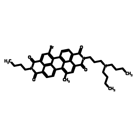 CCCCN(CCCC)CCCN1C(=O)c2ccc3c4c(Br)cc5c6c(ccc(c7c(C)cc(c2c37)C1=O)c64)C(=O)N(CCCC)C5=O